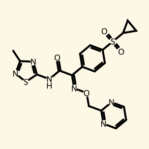 Cc1nsc(NC(=O)/C(=N/OCc2ncccn2)c2ccc(S(=O)(=O)C3CC3)cc2)n1